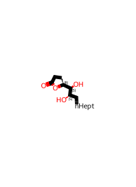 CCCCCCCC[C@H](O)[C@H](O)[C@H]1CCC(=O)O1